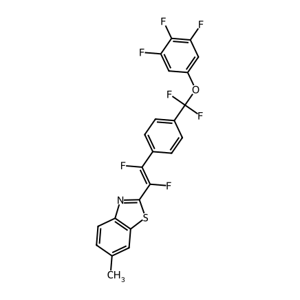 Cc1ccc2nc(/C(F)=C(\F)c3ccc(C(F)(F)Oc4cc(F)c(F)c(F)c4)cc3)sc2c1